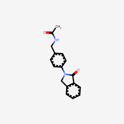 CC(=O)NCc1ccc(N2Cc3ccccc3C2=O)cc1